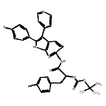 CC(C)(C)OC(=O)NC(Cc1ccc(I)cc1)C(=O)Nc1ccc2c(-c3ccncc3)c(-c3ccc(F)cc3)[nH]c2n1